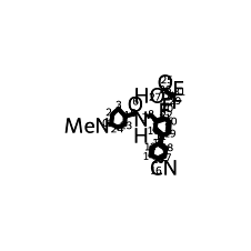 CNC1CCC(C(=O)NCc2cc(-c3ccc(C#N)cc3)ccc2F)CC1.O=C(O)C(F)(F)F